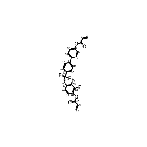 C=CC(=O)Oc1ccc(-c2ccc(C(F)(F)Oc3ccc(OC(=O)C=C)c(F)c3F)cc2)cc1